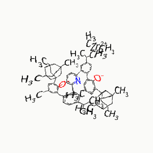 Cc1cc(-c2ccc(C(C)C)cc2-c2cccc(-c3cc(C(C)C)ccc3-c3cc(C)cc(C45CC6(C)CC(C)(CC(C)(C6)C4)C5)c3[O-])n2)c([O-])c(C23CC4(C)CC(C)(CC(C)(C4)C2)C3)c1.[CH3][Zr+2][CH3]